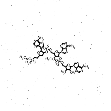 CCOP(C)(=O)CCC1CC(OP(O)(=S)OCC2OC(n3cnc4c(N)ncnc43)C(OP(O)(=S)OCC3OC(n4cnc5c(N)ncnc54)C(O)C3O)C2OC)C(n2cnc3c(N)ncnc32)O1